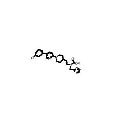 O=C(O)N(CCC1CCN(c2ccc(-c3cccc(Cl)c3)cn2)CC1)Cc1nccs1